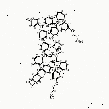 CCOCCOc1ccc(C2(c3ccc(Oc4ccc5c(c4)CC5)cc3)c3ccccc3-c3ccc(N(c4ccc(F)cc4)c4ccc(-c5ccc(N(c6ccc(F)cc6)c6ccc7c(c6)C(c6ccc(OCCOCC)cc6)(c6ccc(Oc8ccc9c(c8)CC9)cc6)c6ccccc6-7)cc5)cc4)cc32)cc1